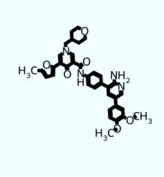 COc1ccc(-c2cnc(N)c(-c3ccc(NC(=O)c4cn(CC5CCOCC5)cc(-c5ccc(C)o5)c4=O)cc3)c2)cc1OC